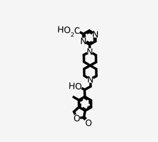 Cc1c(C(O)CN2CCC3(CC2)CCN(c2cncc(C(=O)O)n2)CC3)ccc2c1COC2=O